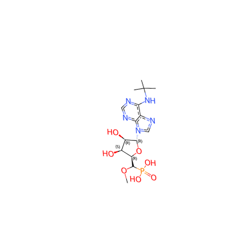 COC([C@@H]1O[C@@H](n2cnc3c(NC(C)(C)C)ncnc32)[C@H](O)[C@@H]1O)P(=O)(O)O